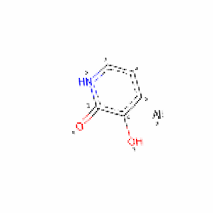 O=c1[nH]cccc1O.[Al]